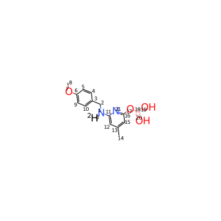 [2H]N(Cc1ccc(OC)cc1)c1cc(C)cc(OB(O)O)n1